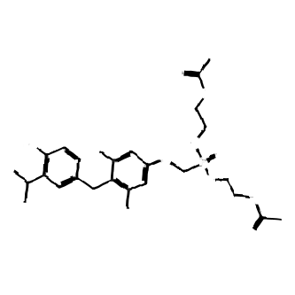 CC(=O)SCCOP(=O)(COc1cc(C)c(Cc2ccc(O)c(C(C)C)c2)c(C)c1)OCCSC(C)=O